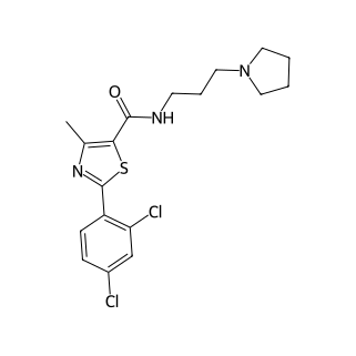 Cc1nc(-c2ccc(Cl)cc2Cl)sc1C(=O)NCCCN1CCCC1